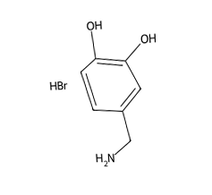 Br.NCc1ccc(O)c(O)c1